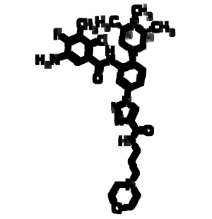 Cc1c(F)c(N)cc(C(=O)Nc2cc(-n3cc(C(=O)NCCCN4CCOCC4)nn3)ccc2N2C[C@@H](C)N(C)[C@@H](C)C2)c1Cl